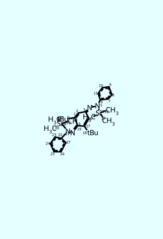 CC(C)(C)C1=CC(=NN(c2ccccc2)[Si](C)(C)C)C=C(C(C)(C)C)C1=NN(c1ccccc1)[Si](C)(C)C